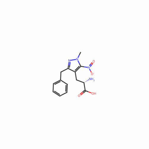 Cn1nc(Cc2ccccc2)c(C[C@H](N)C(=O)O)c1[N+](=O)[O-]